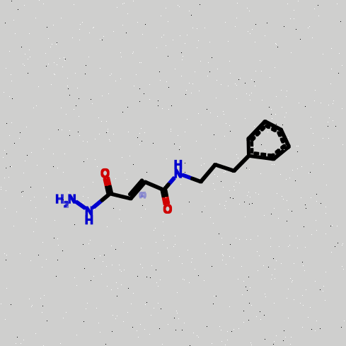 NNC(=O)/C=C/C(=O)NCCCc1ccccc1